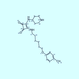 Cc1ccc(OCCCCCCNc2c(NC3CCNCC3)c(=O)c2=O)cc1